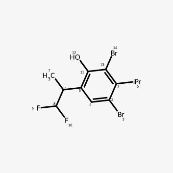 CC(C)c1c(Br)cc(C(C)C(F)F)c(O)c1Br